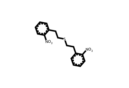 O=[N+]([O-])c1ccccc1CCSCCc1ccccc1[N+](=O)[O-]